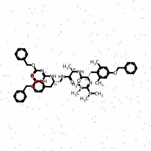 Cc1cc(OCc2ccccc2)cc(C)c1C[C@H](N=C(N(C)C)N(C)C)C(=O)N[C@H](C)C(=O)NC[C@H](Cc1ccccc1)N/C(=N/C(=O)OCc1ccccc1)NC(=O)OCc1ccccc1